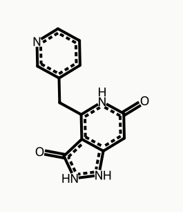 O=c1cc2[nH][nH]c(=O)c2c(Cc2cccnc2)[nH]1